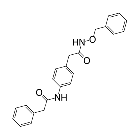 O=C(Cc1ccc(NC(=O)Cc2ccccc2)cc1)NOCc1ccccc1